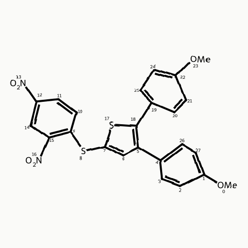 COc1ccc(-c2cc(Sc3ccc([N+](=O)[O-])cc3[N+](=O)[O-])sc2-c2ccc(OC)cc2)cc1